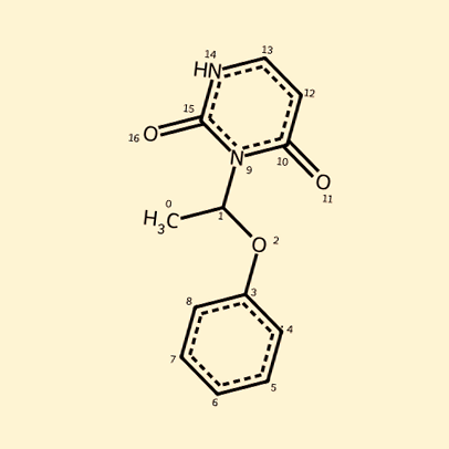 CC(Oc1[c]cccc1)n1c(=O)cc[nH]c1=O